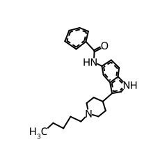 CCCCCN1CCC(c2c[nH]c3ccc(NC(=O)c4ccccc4)cc23)CC1